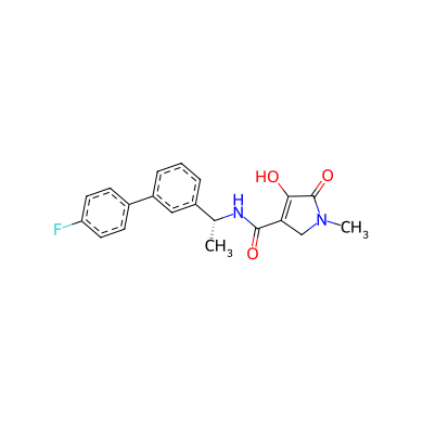 C[C@@H](NC(=O)C1=C(O)C(=O)N(C)C1)c1cccc(-c2ccc(F)cc2)c1